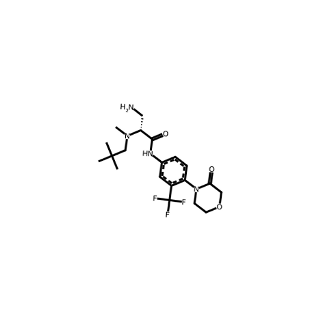 CN(CC(C)(C)C)[C@H](CN)C(=O)Nc1ccc(N2CCOCC2=O)c(C(F)(F)F)c1